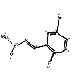 CC(C)(C)[S@@+]([O-])N=Cc1cc(Br)cnc1F